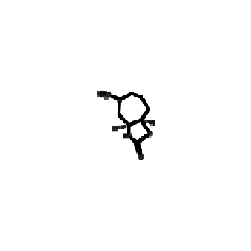 O=C1N[C@H]2CN(C(=O)O)CCC[C@H]2O1